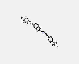 CCC(COc1ccc2nc(/C=C/C#Cc3cnc(NC)cn3)sc2c1)N=O